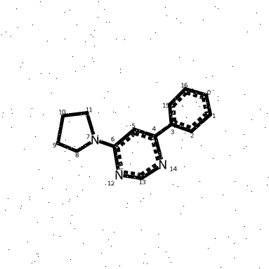 c1ccc(-c2cc(N3CCCC3)ncn2)cc1